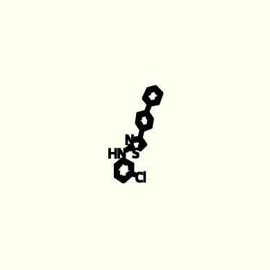 Clc1cccc(Nc2nc(-c3ccc(-c4ccccc4)cc3)cs2)c1